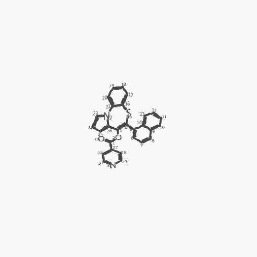 O=C(OC1=C(c2cccc3ccccc23)Sc2ccccc2-n2cccc21)c1ccncc1